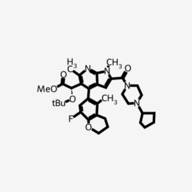 COC(=O)[C@@H](OC(C)(C)C)c1c(C)nc2c(cc(C(=O)N3CCN(C4CCCC4)CC3)n2C)c1-c1cc(F)c2c(c1C)CCCO2